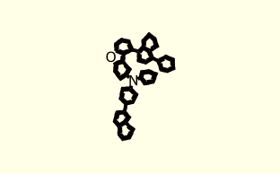 c1ccc(-c2ccc(-c3cccc4oc5ccc(N(c6ccccc6)c6ccc(-c7ccc8ccccc8c7)cc6)cc5c34)c3ccccc23)cc1